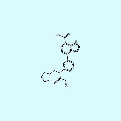 C=CC(=C)N(CC1CCCC1)c1cccc(-c2ccc(C(N)=O)c3[nH]ccc23)c1